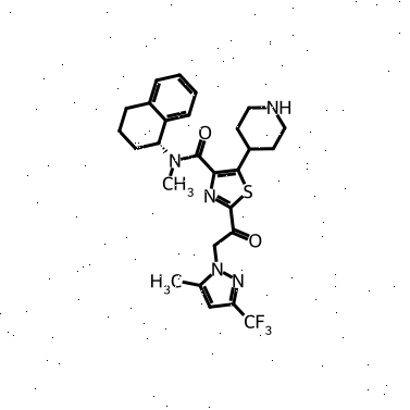 Cc1cc(C(F)(F)F)nn1CC(=O)c1nc(C(=O)N(C)[C@@H]2CCCc3ccccc32)c(C2CCNCC2)s1